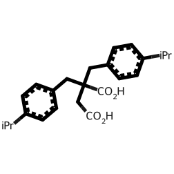 CC(C)c1ccc(CC(CC(=O)O)(Cc2ccc(C(C)C)cc2)C(=O)O)cc1